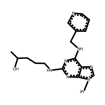 CC(O)CCCNc1nc(NCc2cccnc2)c2ncn(C(C)C)c2n1